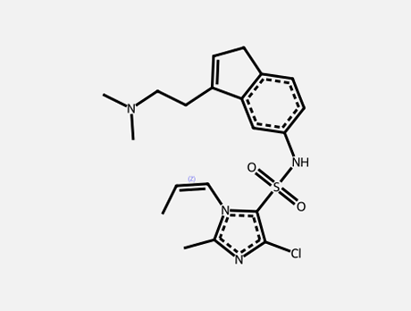 C/C=C\n1c(C)nc(Cl)c1S(=O)(=O)Nc1ccc2c(c1)C(CCN(C)C)=CC2